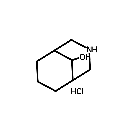 Cl.OC1C2CCCC1CNC2